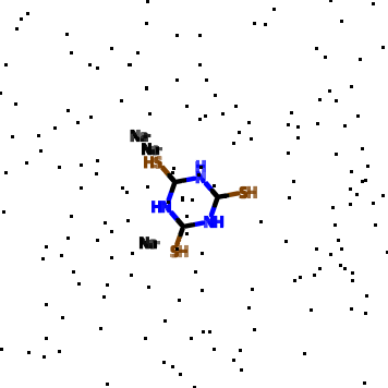 SC1NC(S)NC(S)N1.[Na].[Na].[Na]